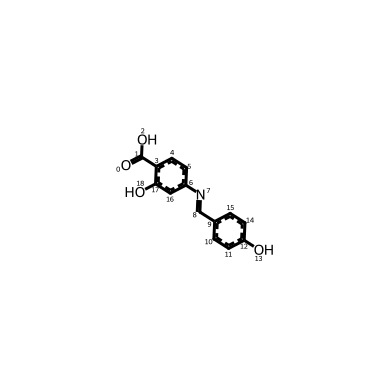 O=C(O)c1ccc(/N=C/c2ccc(O)cc2)cc1O